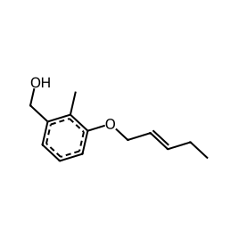 CCC=CCOc1cccc(CO)c1C